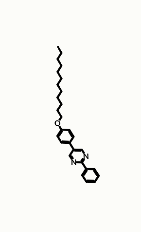 CCCCCCCCCCCCOc1ccc(-c2cnc(-c3ccccc3)nc2)cc1